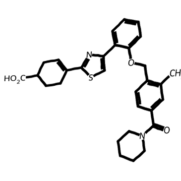 Cc1cc(C(=O)N2CCCCC2)ccc1COc1ccccc1-c1csc(C2=CCC(C(=O)O)CC2)n1